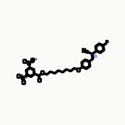 N#C/C(=C\c1ccc(OCCCCCCCCOC(=O)c2cc([N+](=O)[O-])cc([N+](=O)[O-])c2)cc1)c1ccc(F)cc1